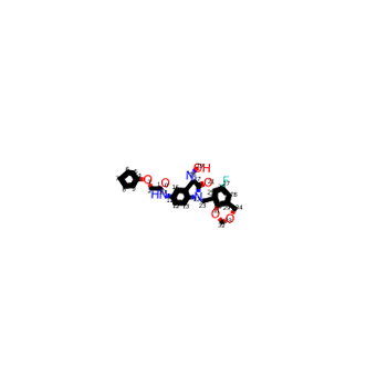 O=C(COc1ccccc1)Nc1ccc2c(c1)/C(=N/O)C(=O)N2Cc1cc(F)cc2c1OCOC2